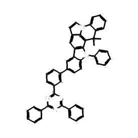 CC1(C)c2ccccc2-n2ccc3cc4c5cc(-c6cccc(-c7nc(-c8ccccc8)nc(-c8ccccc8)n7)c6)ccc5n(-c5ccccc5)c4c1c32